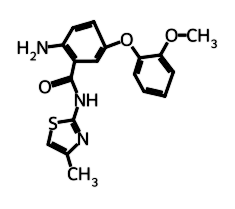 COc1ccccc1Oc1ccc(N)c(C(=O)Nc2nc(C)cs2)c1